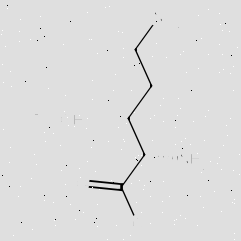 Cl.NCCC[C@H](N)C(=O)[O-].[K+]